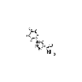 Cc1ccc(-n2cc(C(N)=O)nn2)cc1